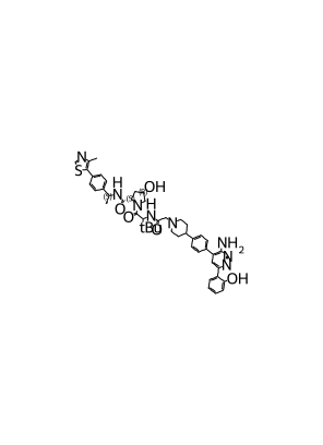 Cc1ncsc1-c1ccc([C@H](C)NC(=O)[C@@H]2C[C@@H](O)CN2C(=O)C(NC(=O)CN2CCC(c3ccc(-c4cc(-c5ccccc5O)nnc4N)cc3)CC2)C(C)(C)C)cc1